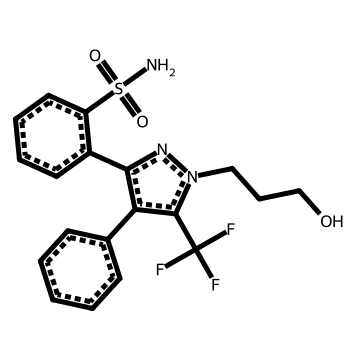 NS(=O)(=O)c1ccccc1-c1nn(CCCO)c(C(F)(F)F)c1-c1ccccc1